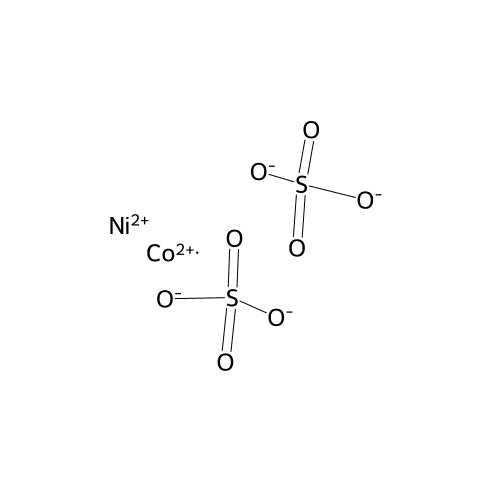 O=S(=O)([O-])[O-].O=S(=O)([O-])[O-].[Co+2].[Ni+2]